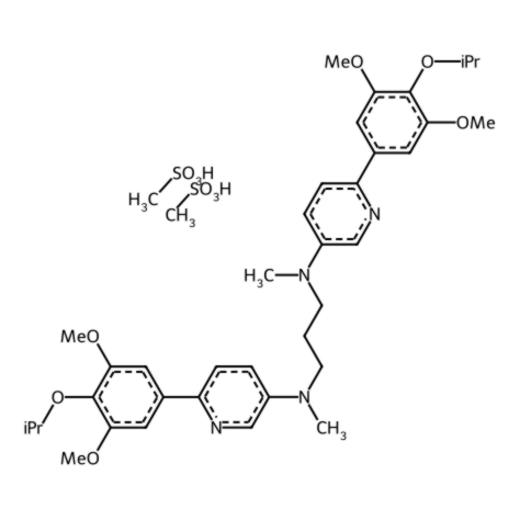 COc1cc(-c2ccc(N(C)CCCN(C)c3ccc(-c4cc(OC)c(OC(C)C)c(OC)c4)nc3)cn2)cc(OC)c1OC(C)C.CS(=O)(=O)O.CS(=O)(=O)O